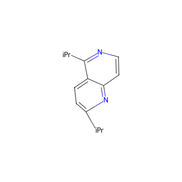 CC(C)c1ccc2c(C(C)C)nccc2n1